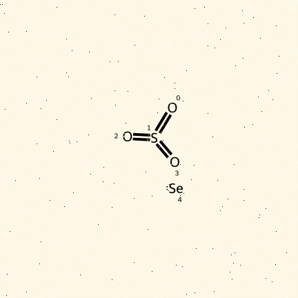 O=S(=O)=O.[Se]